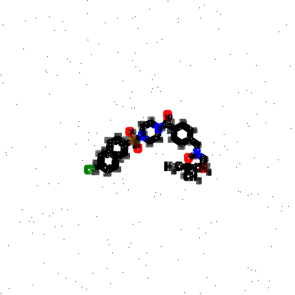 CC(C)(C)ON(C=O)CC1CCC(C(=O)N2CCN(S(=O)(=O)c3ccc4cc(Cl)ccc4c3)CC2)CC1